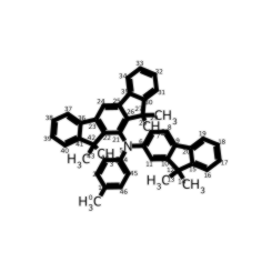 Cc1ccc(N(c2ccc3c(c2)C(C)(C)c2ccccc2-3)c2c3c(cc4c2C(C)(C)c2ccccc2-4)-c2ccccc2C3(C)C)cc1